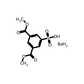 COC(=O)c1cc(C(=O)OC)cc(S(=O)(=O)O)c1.[BaH2]